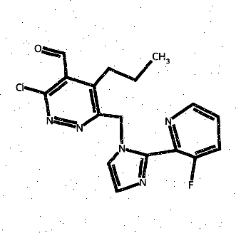 CCCc1c(Cn2ccnc2-c2ncccc2F)nnc(Cl)c1C=O